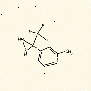 Cc1cccc(C2(C(F)(F)F)NN2)c1